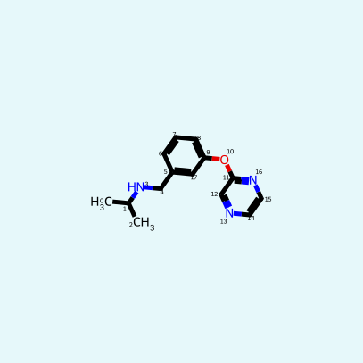 CC(C)NCc1cccc(Oc2cnccn2)c1